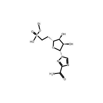 CCOP(=O)(O)CC[C@H]1O[C@@H](n2cnc(C(N)=O)n2)[C@H](O)[C@@H]1O